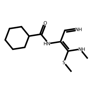 CN/C(SC)=C(\C=N)NC(=O)C1CCCCC1